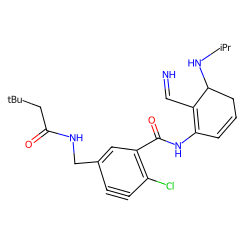 CC(C)NC1CC=CC(NC(=O)c2cc(CNC(=O)CC(C)(C)C)c#cc2Cl)=C1C=N